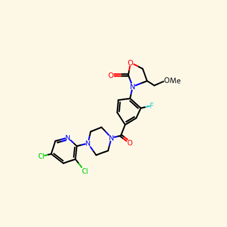 COCC1COC(=O)N1c1ccc(C(=O)N2CCN(c3ncc(Cl)cc3Cl)CC2)cc1F